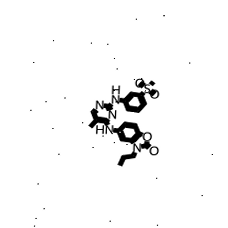 CCCn1c(=O)oc2ccc(Nc3nc(Nc4cccc(S(C)(=O)=O)c4)ncc3C)cc21